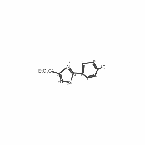 CCOC(=O)c1nsc(-c2ccc(Cl)cc2)n1